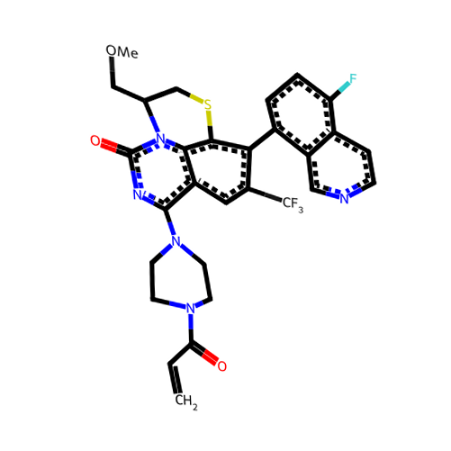 C=CC(=O)N1CCN(c2nc(=O)n3c4c(c(-c5ccc(F)c6ccncc56)c(C(F)(F)F)cc24)SCC3COC)CC1